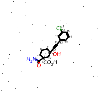 NC(=O)[C@]1(C(=O)O)CCC[C@@](O)(C#Cc2cccc(Cl)c2)C1